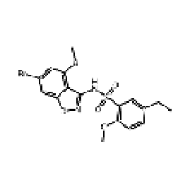 CCc1ccc(OC)c(S(=O)(=O)Nc2noc3cc(Br)cc(OC)c23)c1